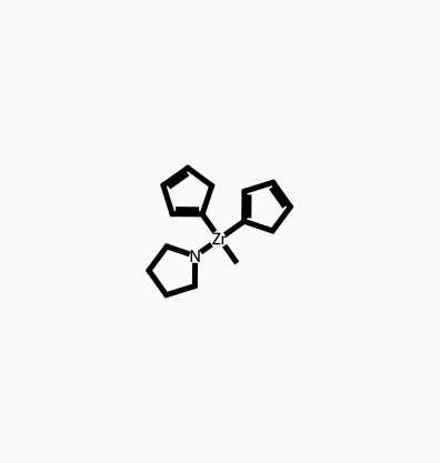 [CH3][Zr]([C]1=CC=CC1)([C]1=CC=CC1)[N]1CCCC1